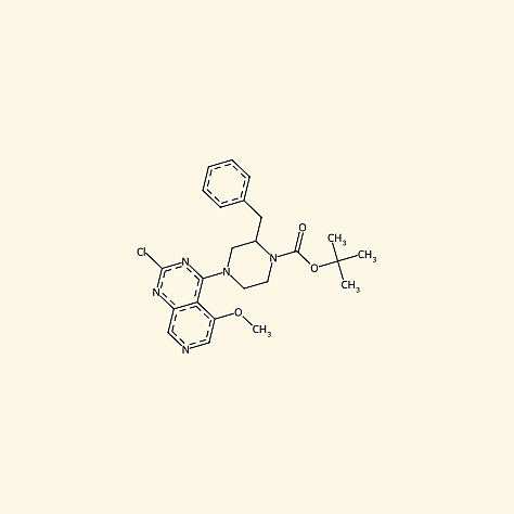 COc1cncc2nc(Cl)nc(N3CCN(C(=O)OC(C)(C)C)C(Cc4ccccc4)C3)c12